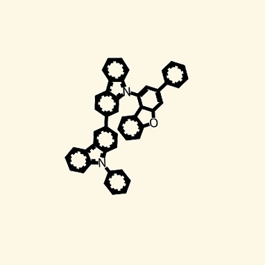 C1=C(c2ccccc2)C=C(n2c3ccccc3c3ccc(-c4ccc5c(c4)c4ccccc4n5-c4ccccc4)cc32)C2c3ccccc3OC12